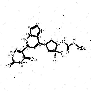 CC(C)(C)NC(=O)O[C@H]1CN(c2cc(-c3c[nH]c(=O)[nH]c3=O)nn3ccnc23)CC1(F)F